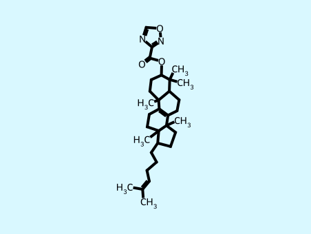 CC(C)=CCCCC1CCC2(C)C3=C(CCC12C)C1(C)CCC(OC(=O)c2ncon2)C(C)(C)C1CC3